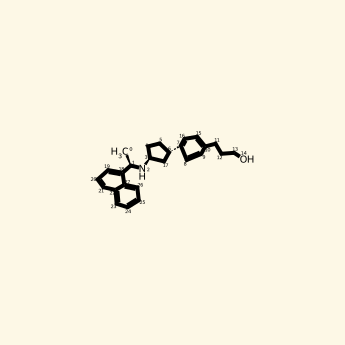 C[C@@H](N[C@H]1CC[C@H](c2ccc(CCCO)cc2)C1)c1cccc2ccccc12